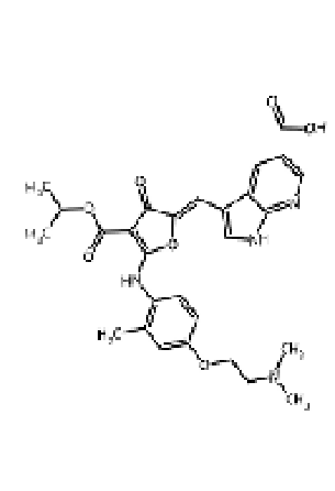 Cc1cc(OCCN(C)C)ccc1NC1=C(C(=O)OC(C)C)C(=O)C(=Cc2c[nH]c3ncccc23)O1.O=CO